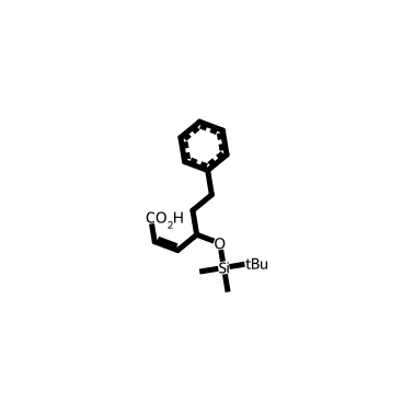 CC(C)(C)[Si](C)(C)OC(/C=C\C(=O)O)CCc1ccccc1